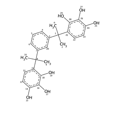 CC(C)(c1cccc(C(C)(C)c2ccc(O)c(O)c2O)c1)c1ccc(O)c(O)c1O